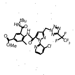 COC(=O)c1cc(C)c(NC(=O)c2cc(Cn3nnc(C(F)(F)C(F)(F)F)n3)nn2-c2ncccc2Cl)c(C(=O)NC(C)(C)C)c1